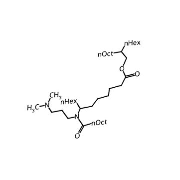 CCCCCCCCC(=O)N(CCCN(C)C)C(CCCCCC)CCCCCC(=O)OCC(CCCCCC)CCCCCCCC